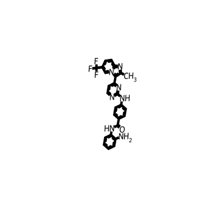 Cc1nc2ccc(C(F)(F)F)cn2c1-c1ccnc(Nc2ccc(C(=O)Nc3ccccc3N)cc2)n1